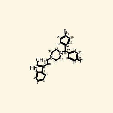 Cc1[nH]c2ccccc2c1CCN1CCN(C(c2ccc(F)cc2)c2ccc(F)cc2)CC1